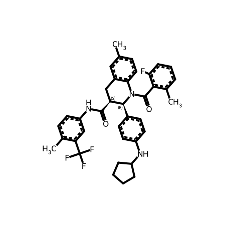 Cc1ccc2c(c1)C[C@H](C(=O)Nc1ccc(C)c(C(F)(F)F)c1)[C@H](c1ccc(NC3CCCC3)cc1)N2C(=O)c1c(C)cccc1F